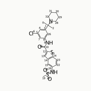 CC(C)(c1cc(Cl)cc(NC(=O)c2cc3cc(NS(C)(=O)=O)ccc3s2)c1)N1CCCCC1